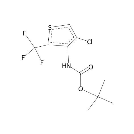 CC(C)(C)OC(=O)Nc1c(Cl)csc1C(F)(F)F